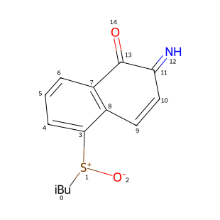 CCC(C)[S+]([O-])c1cccc2c1C=CC(=N)C2=O